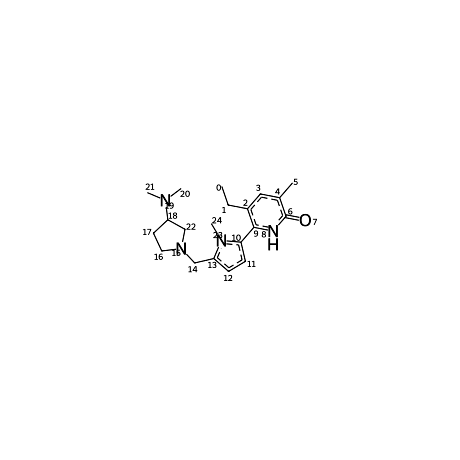 CCc1cc(C)c(=O)[nH]c1-c1ccc(CN2CCC(N(C)C)C2)n1C